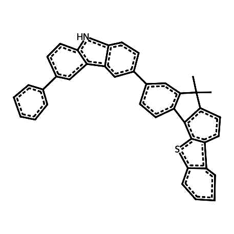 CC1(C)c2cc(-c3ccc4[nH]c5ccc(-c6ccccc6)cc5c4c3)ccc2-c2c1ccc1c2sc2ccccc21